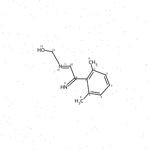 Cc1cccc(C)c1C(=N)/C=N/CO